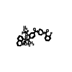 CN1CC=Cc2cccc(S(=O)(=O)N(C)c3ccc(C(=O)N4CCN(C(=O)c5ccccc5F)CC4)cc3OC(C)(F)F)c21